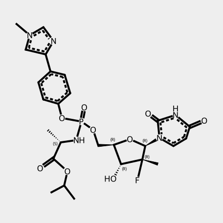 CC(C)OC(=O)[C@H](C)NP(=O)(OC[C@H]1O[C@@H](n2ccc(=O)[nH]c2=O)[C@](C)(F)[C@@H]1O)Oc1ccc(-c2cn(C)cn2)cc1